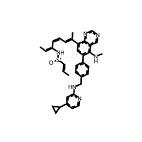 C/C=C/[S+]([O-])NC(/C=C\C=C(/C)c1cc(-c2ccc(CNc3cc(C4CC4)ccn3)cc2)c(NC)c2cncnc12)=C/C